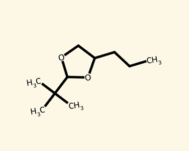 CCCC1COC(C(C)(C)C)O1